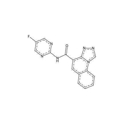 O=C(Nc1ncc(F)cn1)c1cc2ccccc2n2cnnc12